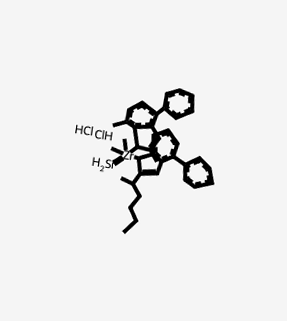 CCCCC(C)C1=Cc2c(-c3ccccc3)cccc2[CH]1[Zr]([CH3])([CH3])(=[SiH2])[CH]1C(C)=Cc2c(-c3ccccc3)ccc(C)c21.Cl.Cl